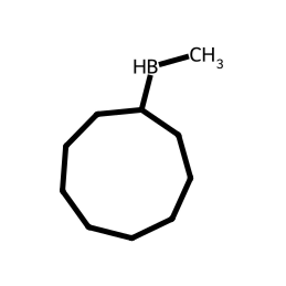 CBC1CCCCCCCC1